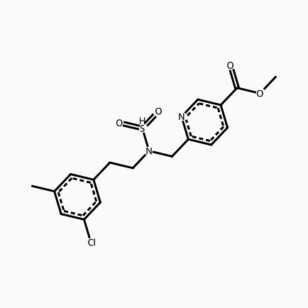 COC(=O)c1ccc(CN(CCc2cc(C)cc(Cl)c2)[SH](=O)=O)nc1